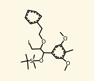 COc1cc(C(O[Si](C)(C)C(C)(C)C)C(CI)OCCc2ccccc2)cc(OC)c1C